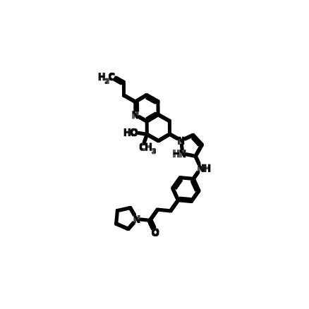 C=CCc1ccc2c(n1)C(C)(O)CC(N1C=CC(Nc3ccc(CCC(=O)N4CCCC4)cc3)N1)C2